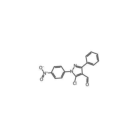 O=Cc1c(-c2ccccc2)nn(-c2ccc([N+](=O)[O-])cc2)c1Cl